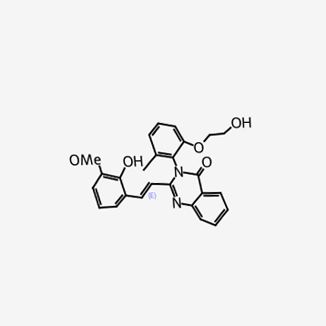 COc1cccc(/C=C/c2nc3ccccc3c(=O)n2-c2c(C)cccc2OCCO)c1O